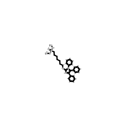 CCOP(=O)(CCCCCCCOc1nc(-c2ccccc2)c(-c2ccccc2)n1-c1ccccc1)OCC